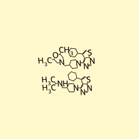 CC(C)NCC1CCN(c2ncnc3scc(C4CCCCC4)c23)CC1.CC1CN(CC2CCN(c3ncnc4scc(C5CCCCC5)c34)CC2)CC(C)O1